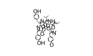 CC[C@@H](C)[C@H](OC(=O)[C@H](Cc1ccc(OC)cc1)N(C)C)C(=O)N[C@@H](C(=O)N(C)[C@@H](Cc1ccc(O)cc1)C(=O)N(C)[C@H](Cc1ccc(O)cc1)C(=O)OC)C(C)C